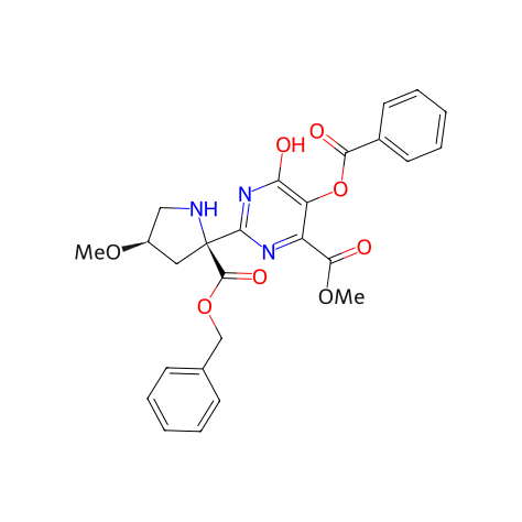 COC(=O)c1nc([C@]2(C(=O)OCc3ccccc3)C[C@@H](OC)CN2)nc(O)c1OC(=O)c1ccccc1